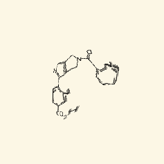 O=C(O)c1ccc(C2=NCC3=C2CN(C(=O)c2ccccn2)C3)nc1